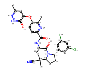 Cc1cc(Oc2ccc(C(=O)N[C@H](C)C(=O)N3C(C(C)(C)C#N)CC[C@H]3c3cc(F)cc(Cl)c3)nc2C)c(=O)[nH]n1